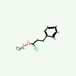 O=COC(Cl)CCc1ccccc1